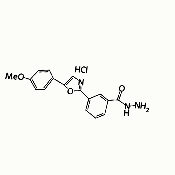 COc1ccc(-c2cnc(-c3cccc(C(=O)NN)c3)o2)cc1.Cl